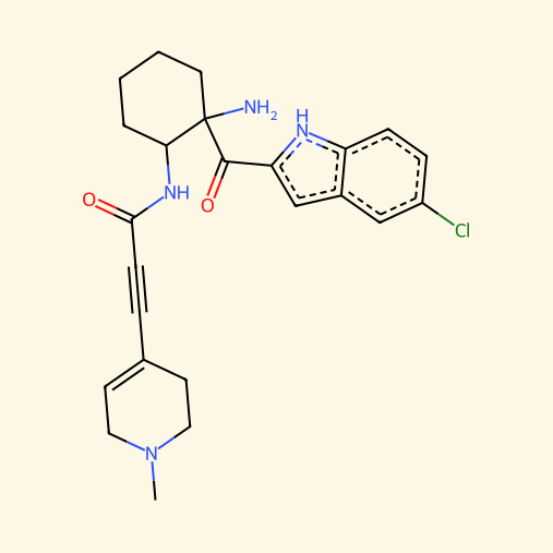 CN1CC=C(C#CC(=O)NC2CCCCC2(N)C(=O)c2cc3cc(Cl)ccc3[nH]2)CC1